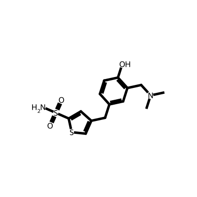 CN(C)Cc1cc(Cc2csc(S(N)(=O)=O)c2)ccc1O